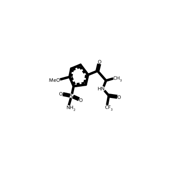 COc1ccc(C(=O)C(C)NC(=O)C(F)(F)F)cc1S(N)(=O)=O